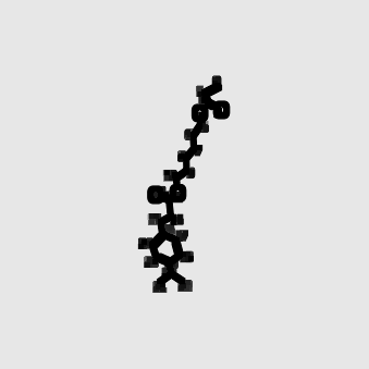 C=CC(=O)OCCCCCCOC(=O)CCc1ccc(C(C)C)cc1